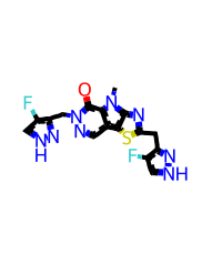 Cn1c2nc(Cc3n[nH]cc3F)sc2c2cnn(Cc3n[nH]cc3F)c(=O)c21